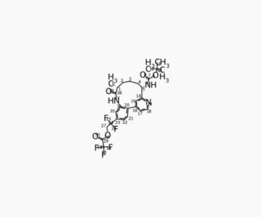 C[C@@H]1CCC[C@H](NC(=O)OC(C)(C)C)c2cc(ccn2)-c2ccc(C(F)(F)COC(=O)C(F)(F)F)cc2NC1=O